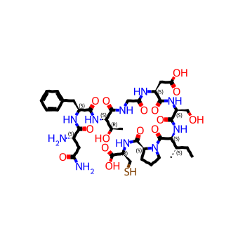 CC[C@H](C)[C@H](NC(=O)[C@H](CO)NC(=O)[C@H](CC(=O)O)NC(=O)CNC(=O)[C@@H](NC(=O)[C@H](Cc1ccccc1)NC(=O)[C@@H](N)CC(N)=O)[C@@H](C)O)C(=O)N1CCC[C@H]1C(=O)N[C@@H](CS)C(=O)O